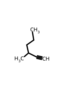 C#CC(C)CCC